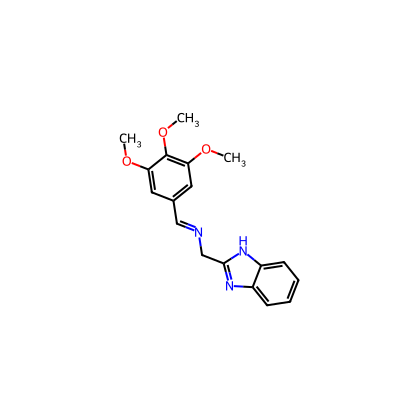 COc1cc(C=NCc2nc3ccccc3[nH]2)cc(OC)c1OC